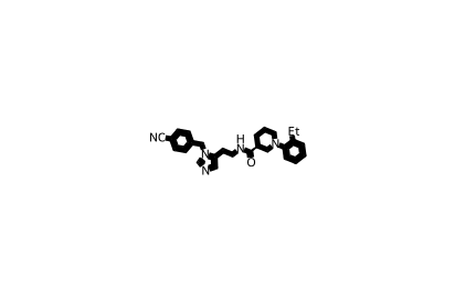 CCc1ccccc1N1CCC[C@H](C(=O)NCCc2cncn2Cc2ccc(C#N)cc2)C1